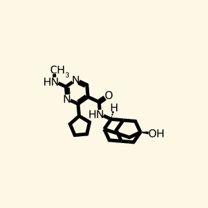 CNc1ncc(C(=O)N[C@H]2C3CC4CC2C[C@@](O)(C4)C3)c(C2CCCC2)n1